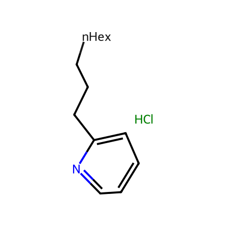 CCCCCCCCCc1ccccn1.Cl